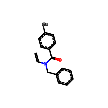 C=CN(Cc1ccccc1)C(=O)c1ccc(C(C)(C)C)cc1